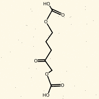 O=C(CCCOC(=O)O)COC(=O)O